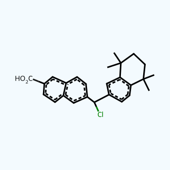 CC1(C)CCC(C)(C)c2cc(C(Cl)c3ccc4cc(C(=O)O)ccc4c3)ccc21